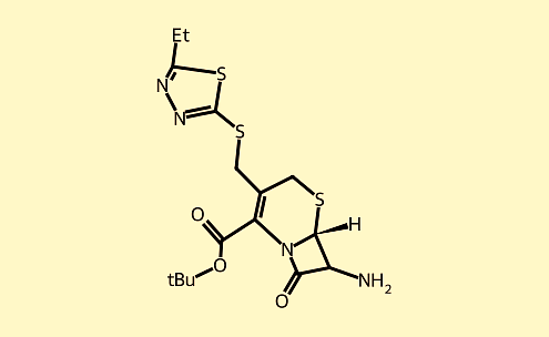 CCc1nnc(SCC2=C(C(=O)OC(C)(C)C)N3C(=O)C(N)[C@H]3SC2)s1